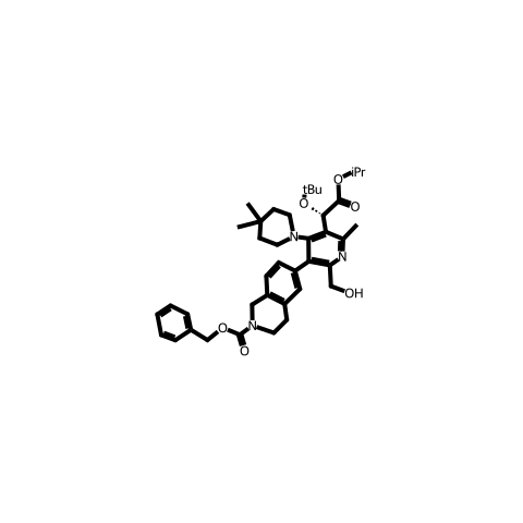 Cc1nc(CO)c(-c2ccc3c(c2)CCN(C(=O)OCc2ccccc2)C3)c(N2CCC(C)(C)CC2)c1[C@H](OC(C)(C)C)C(=O)OC(C)C